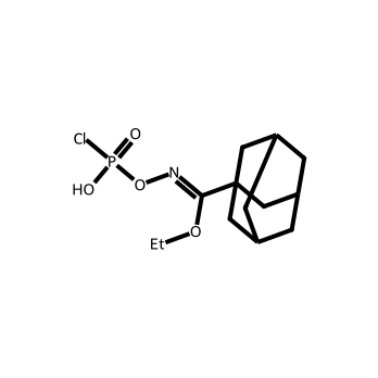 CCOC(=NOP(=O)(O)Cl)C12CC3CC(CC(C3)C1)C2